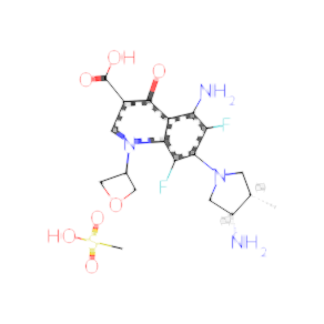 CS(=O)(=O)O.C[C@H]1CN(c2c(F)c(N)c3c(=O)c(C(=O)O)cn(C4COC4)c3c2F)C[C@H]1N